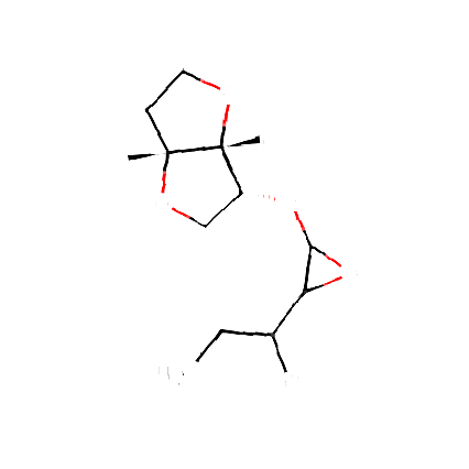 CCC(C)C1OC1O[C@@H]1CO[C@@H]2CCO[C@@H]21